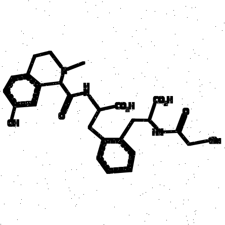 CN1CCc2ccc(O)cc2C1C(=O)NC(Cc1ccccc1CC(NC(=O)CC(C)(C)C)C(=O)O)C(=O)O